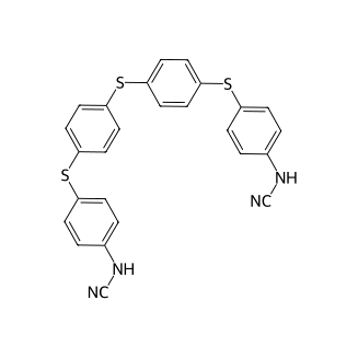 N#CNc1ccc(Sc2ccc(Sc3ccc(Sc4ccc(NC#N)cc4)cc3)cc2)cc1